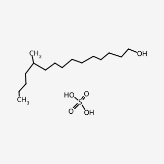 CCCCC(C)CCCCCCCCCCO.O=S(=O)(O)O